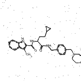 Cc1c(C(=O)NC(CCC2CC2)C(=O)NCc2ccc(CN3CCNCC3)cc2)[nH]c2ccccc12